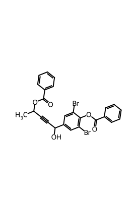 CC(C#CC(O)c1cc(Br)c(OC(=O)c2ccccc2)c(Br)c1)OC(=O)c1ccccc1